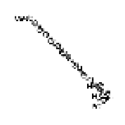 COCCOCCOCCOCCOCCOCCOCCOCCOCCOCCOCCOCCNC(=O)CC[C@@H](NC(=O)CCC(C)C)C(=O)C(C)C